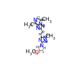 COC1CCN(c2nc(/C=C/c3nc4c(C)ncc(C)n4n3)n(C)n2)C1